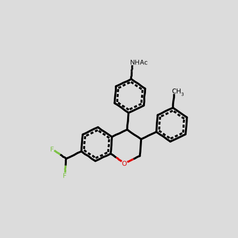 CC(=O)Nc1ccc(C2c3ccc(C(F)F)cc3OCC2c2cccc(C)c2)cc1